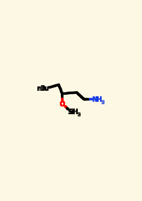 CCCCCC(CCN)O[SiH3]